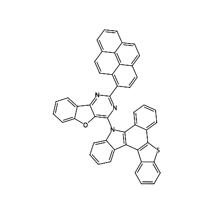 c1cc2ccc3ccc(-c4nc(-n5c6ccccc6c6c7c8ccccc8sc7c7ccccc7c65)c5oc6ccccc6c5n4)c4ccc(c1)c2c34